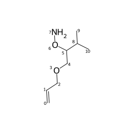 C=CCOCC(ON)C(C)C